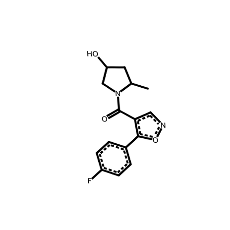 CC1CC(O)CN1C(=O)c1cnoc1-c1ccc(F)cc1